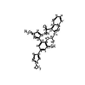 Cn1cc(-c2cc(S)c(OC(F)F)c(-c3nn(C)cc3NC(=O)c3cnn4cccnc34)c2)cn1